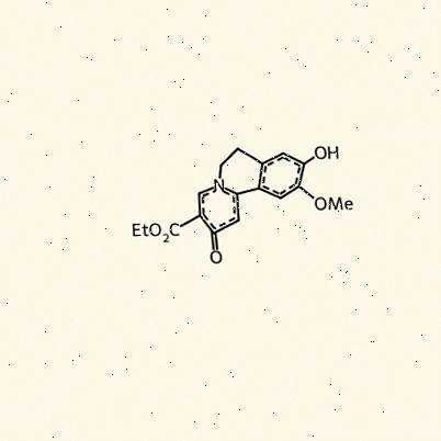 CCOC(=O)c1cn2c(cc1=O)-c1cc(OC)c(O)cc1CC2